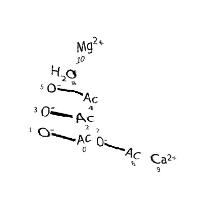 CC(=O)[O-].CC(=O)[O-].CC(=O)[O-].CC(=O)[O-].O.[Ca+2].[Mg+2]